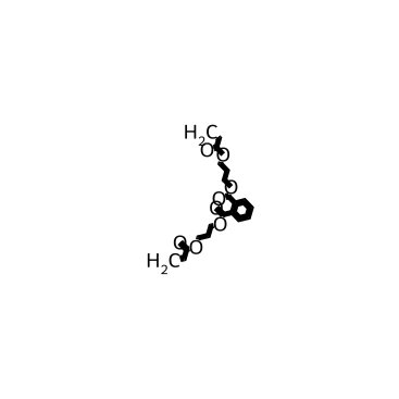 C=CC(=O)OCCCOC(=O)c1ccccc1C(=O)OCCCOC(=O)C=C